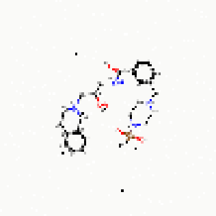 CS(=O)(=O)N1CCN(Cc2cccc(C(=O)NCC(O)CN3CCc4ccccc4C3)c2)CC1